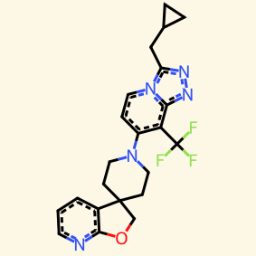 FC(F)(F)c1c(N2CCC3(CC2)COc2ncccc23)ccn2c(CC3CC3)nnc12